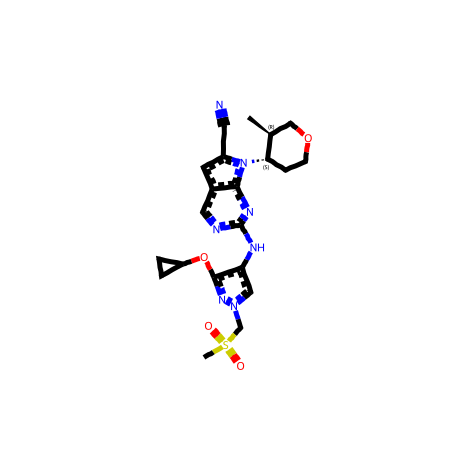 C[C@H]1COCC[C@@H]1n1c(C#N)cc2cnc(Nc3cn(CS(C)(=O)=O)nc3OC3CC3)nc21